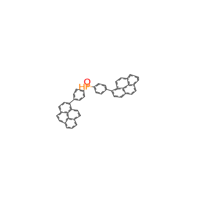 O=[PH](c1ccc(-c2ccc3ccc4cccc5ccc2c3c45)cc1)c1ccc(-c2ccc3ccc4cccc5ccc2c3c45)cc1